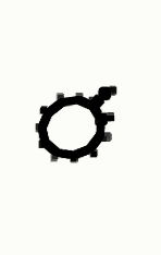 O=C1CCCCCCCCCO1